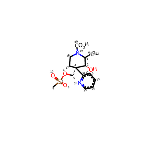 CC(C)(C)C1[C@H](O)[C@@](COS(C)(=O)=O)(c2ccccn2)CCN1C(=O)O